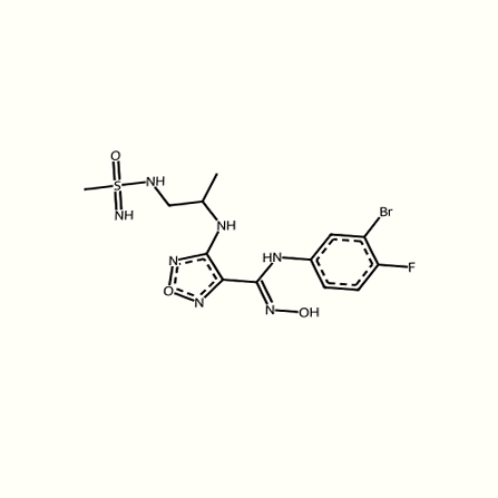 CC(CNS(C)(=N)=O)Nc1nonc1/C(=N/O)Nc1ccc(F)c(Br)c1